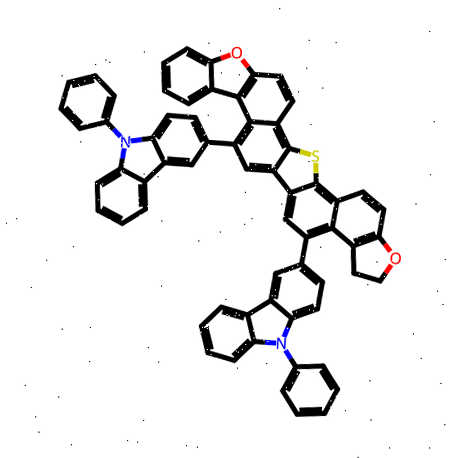 c1ccc(-n2c3ccccc3c3cc(-c4cc5c6cc(-c7ccc8c(c7)c7ccccc7n8-c7ccccc7)c7c(ccc8oc9ccccc9c87)c6sc5c5ccc6c(c45)CCO6)ccc32)cc1